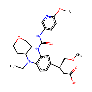 CCN(c1ccc([C@@H](COC)CC(=O)O)cc1NC(=O)Nc1ccc(OC)nc1)C1CCOCC1